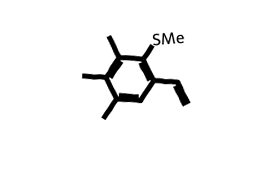 C=Cc1cc(C)c(C)c(C)c1SC